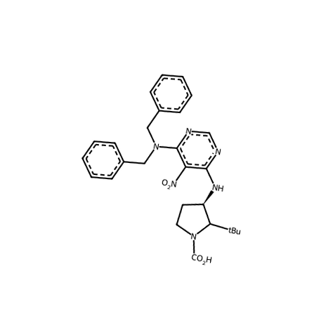 CC(C)(C)C1[C@H](Nc2ncnc(N(Cc3ccccc3)Cc3ccccc3)c2[N+](=O)[O-])CCN1C(=O)O